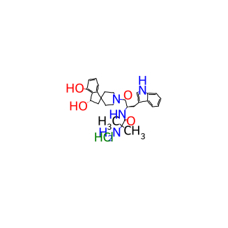 CC(C)(N)C(=O)N[C@H](Cc1c[nH]c2ccccc12)C(=O)N1CCC2(CC1)C[C@H](O)c1c(O)cccc12.Cl